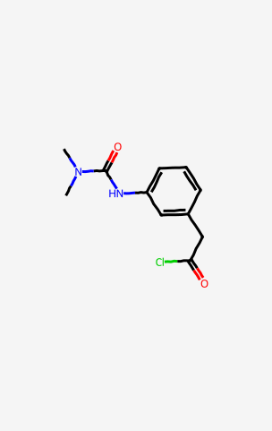 CN(C)C(=O)Nc1cccc(CC(=O)Cl)c1